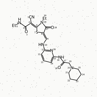 CCNC(=O)C(C#N)=c1sc(=CNc2cccc(NC(=O)CN3CCCCC3)n2)c(=O)n1CC